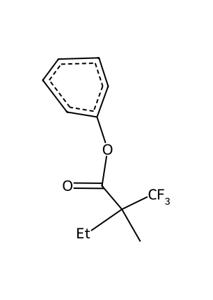 CCC(C)(C(=O)Oc1ccccc1)C(F)(F)F